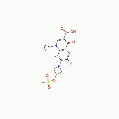 CS(=O)(=O)OC1CN(c2c(F)cc3c(=O)c(C(=O)O)cn(C4CC4)c3c2F)C1